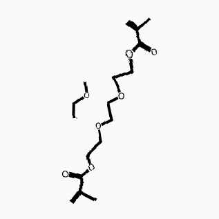 C=C(C)C(=O)OCCOCCOCCOC(=O)C(=C)C.[CH2]COC